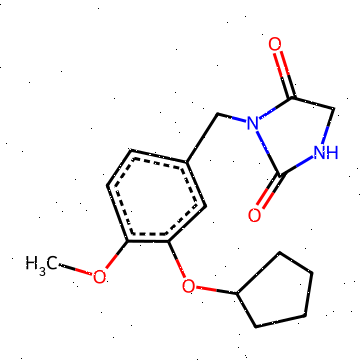 COc1ccc(CN2C(=O)CNC2=O)cc1OC1CCCC1